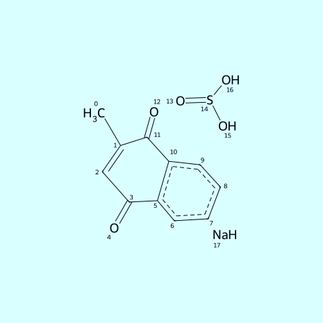 CC1=CC(=O)c2ccccc2C1=O.O=S(O)O.[NaH]